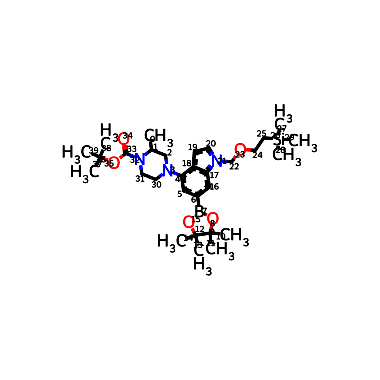 CC1CN(c2cc(B3OC(C)(C)C(C)(C)O3)cc3c2ccn3COCC[Si](C)(C)C)CCN1C(=O)OC(C)(C)C